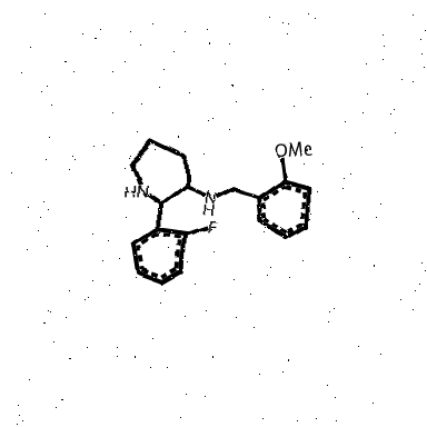 COc1ccccc1CNC1CCCNC1c1ccccc1F